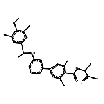 COc1c(C)cc(C(C)Nc2cccc(-c3cc(C)c(C(=O)NC(C)C(=O)O)c(C)c3)c2)cc1C